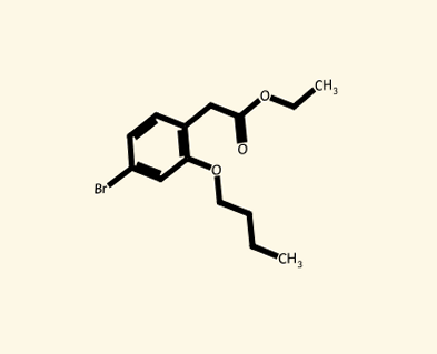 CCCCOc1cc(Br)ccc1CC(=O)OCC